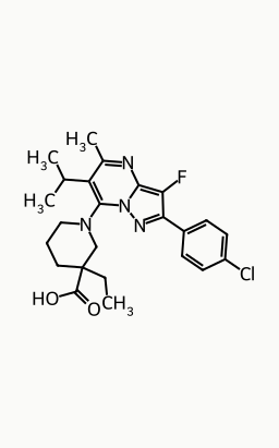 CCC1(C(=O)O)CCCN(c2c(C(C)C)c(C)nc3c(F)c(-c4ccc(Cl)cc4)nn23)C1